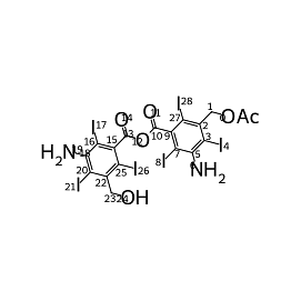 CC(=O)OCc1c(I)c(N)c(I)c(C(=O)OC(=O)c2c(I)c(N)c(I)c(CO)c2I)c1I